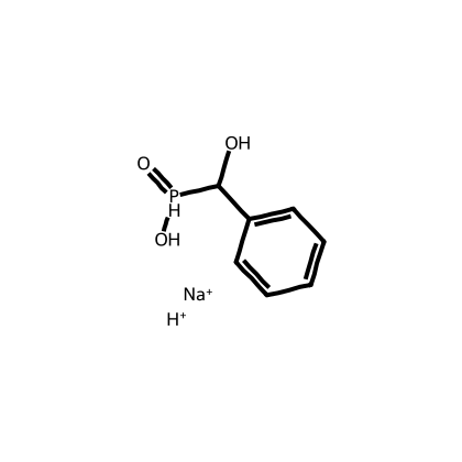 O=[PH](O)C(O)c1ccccc1.[H+].[Na+]